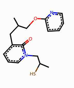 CC(S)Cn1cccc(CC(C)COc2ccccn2)c1=O